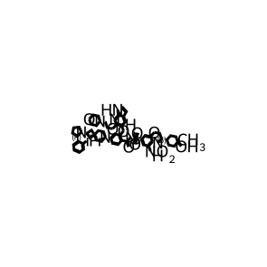 CC(C)c1ccccc1[C@H]1CCCN1C1CC2(CCN(c3ccc(C(=O)NS(=O)(=O)c4cc5c(c([N+](=O)[O-])c4)N[C@@H](C4CCC(C)(O)CC4)CO5)c(Oc4cc5cc[nH]c5nc4OCCN4CCOCC4)c3)CC2)C1